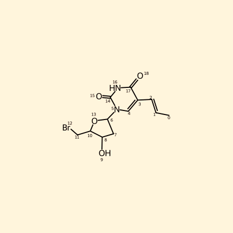 C/C=C/c1cn(C2CC(O)C(CBr)O2)c(=O)[nH]c1=O